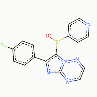 [O-][S+](c1ccncc1)c1c(-c2ccc(F)cc2)nc2nccnn12